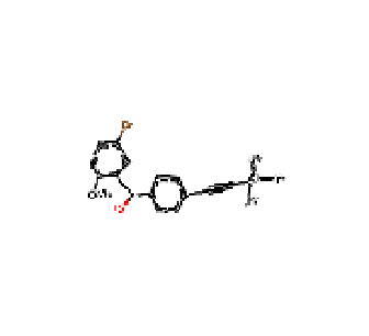 COc1ccc(Br)cc1C(O)c1ccc(C#C[Si](C(C)C)(C(C)C)C(C)C)cc1